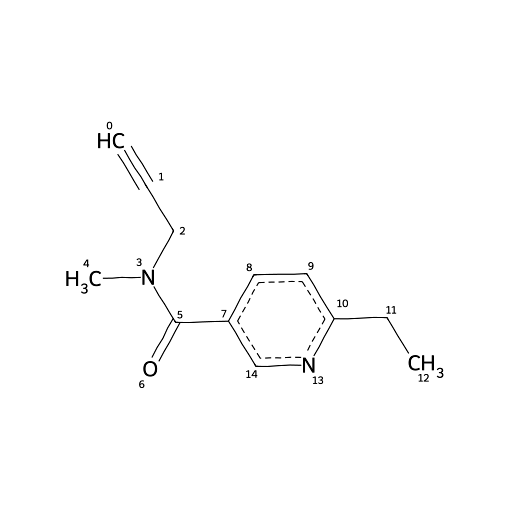 C#CCN(C)C(=O)c1ccc(CC)nc1